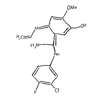 C=C/N=C1/C=C(OC)C(O)=C/C1=C(/N)Nc1ccc(F)c(Cl)c1